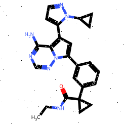 CCNC(=O)C1(c2cccc(-c3cc(-c4ccnn4C4CC4)c4c(N)ncnn34)c2)CC1